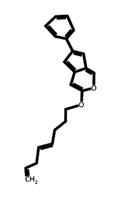 C=CC/C=C/CCCOc1cc2cc(-c3ccccc3)cc-2co1